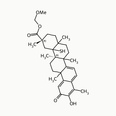 COCOC(=O)[C@]1(C)CCC2(C)CCC3(C)C4=CC=C5C(=CC(=O)C(O)=C5C)C4(C)CC[C@@]3(C)C2(S)C1